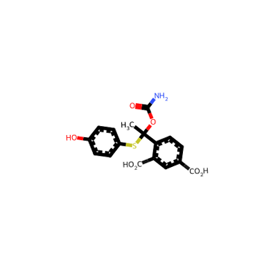 CC(OC(N)=O)(Sc1ccc(O)cc1)c1ccc(C(=O)O)cc1C(=O)O